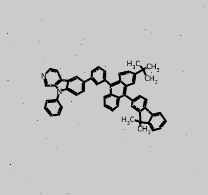 CC(C)(C)c1ccc2c(-c3cccc(-c4ccc5c(c4)c4ccncc4n5-c4ccccc4)c3)c3ccccc3c(-c3ccc4c(c3)C(C)(C)c3ccccc3-4)c2c1